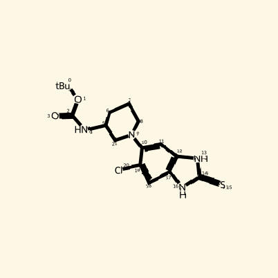 CC(C)(C)OC(=O)NC1CCCN(c2cc3[nH]c(=S)[nH]c3cc2Cl)C1